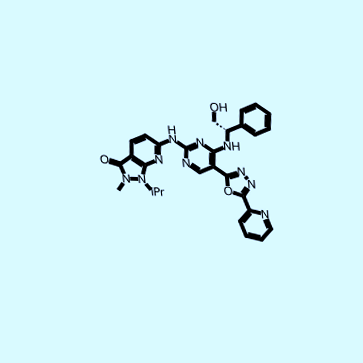 CC(C)n1c2nc(Nc3ncc(-c4nnc(-c5ccccn5)o4)c(N[C@H](CO)c4ccccc4)n3)ccc2c(=O)n1C